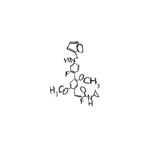 COc1cc(-c2ccc(NCc3ccco3)cc2F)c(OC)cc1/C=C(/F)C(=O)NC1CC1